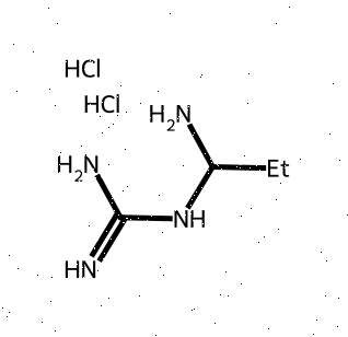 CCC(N)NC(=N)N.Cl.Cl